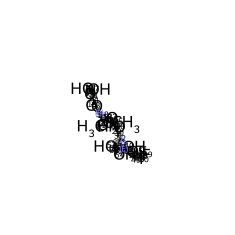 COc1cc(/C=C/COC(=O)CCCON(O)O)ccc1OC(=O)C(C)NC(=O)CCC/C=C\C[C@@H]1[C@@H](/C=C/[C@@H](O)COc2cccc(C(F)(F)F)c2)[C@H](O)C[C@@H]1O